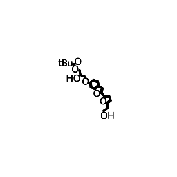 CC(C)(C)C(=O)OCC(O)COc1ccc2cc(-c3ccc(CCO)o3)oc2c1